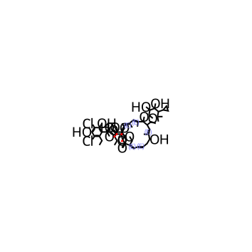 CCc1c(Cl)c(O)c(Cl)c(O)c1C(=O)OC1C(C)OC(OC/C2=C\C=C\CC(O)/C(C)=C/C(CC)C(OC3OC(C)(C)C(C4CC4)C(O)C3O)/C(C)=C/C(C)=C/CC(C(C)=O)OC2=O)C(OC)C1O